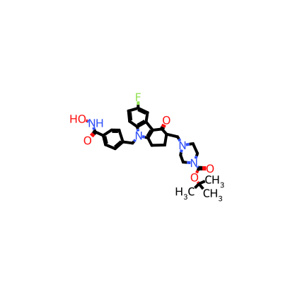 CC(C)(C)OC(=O)N1CCN(CC2CCc3c(c4cc(F)ccc4n3Cc3ccc(C(=O)NO)cc3)C2=O)CC1